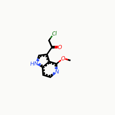 COc1nccc2[nH]cc(C(=O)CCl)c12